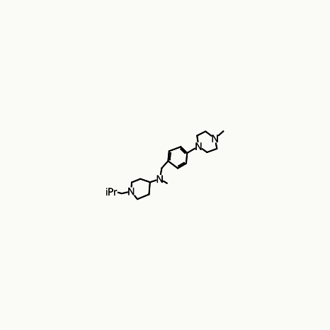 CC(C)CN1CCC(N(C)Cc2ccc(N3CCN(C)CC3)cc2)CC1